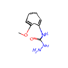 COc1ccccc1NC(=O)NN